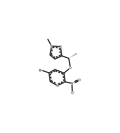 C[C@H](Oc1cc(Br)cnc1[N+](=O)[O-])c1ccn(C)n1